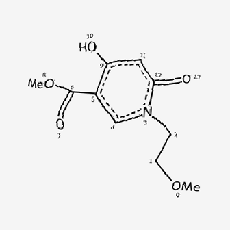 COCCn1cc(C(=O)OC)c(O)cc1=O